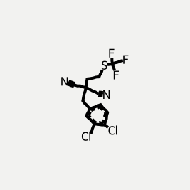 N#CC(C#N)(CCSC(F)(F)F)Cc1ccc(Cl)c(Cl)c1